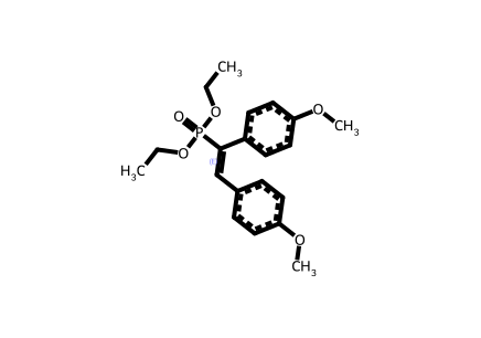 CCOP(=O)(OCC)/C(=C/c1ccc(OC)cc1)c1ccc(OC)cc1